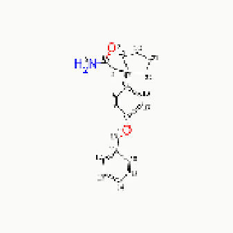 NC(=O)CC1(c2ccc(OCc3ccccc3)cc2)CCCC1